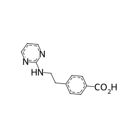 O=C(O)c1ccc(CCNc2ncccn2)cc1